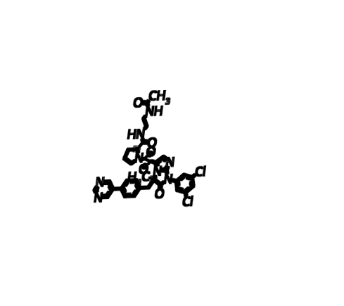 CC(=O)NCCNC(=O)[C@@H]1CCCN1S(=O)(=O)c1cnc2n1[C@](C)(Cc1ccc(-c3cncnc3)cc1)C(=O)N2c1cc(Cl)cc(Cl)c1